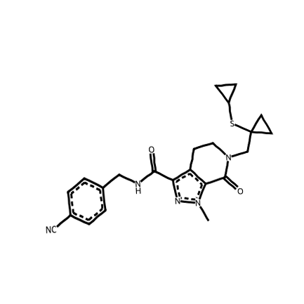 Cn1nc(C(=O)NCc2ccc(C#N)cc2)c2c1C(=O)N(CC1(SC3CC3)CC1)CC2